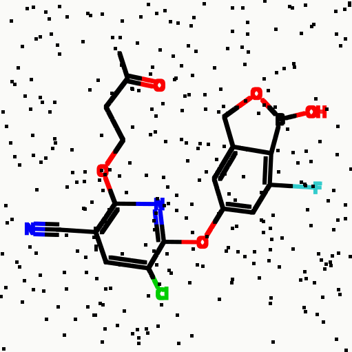 CC(=O)CCOc1nc(Oc2cc(F)c3c(c2)COB3O)c(Cl)cc1C#N